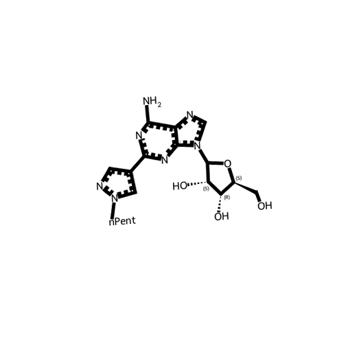 CCCCCn1cc(-c2nc(N)c3ncn(C4O[C@@H](CO)[C@H](O)[C@@H]4O)c3n2)cn1